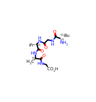 CC[C@H](C)[C@H](N)C(=O)NCC(=O)N[C@H](C(=O)N[C@@H](C)C(=O)NCC(=O)O)C(C)C